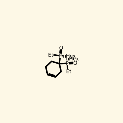 CCCCCCP(=O)(CC)C1(P(=O)(CC)CCCCCC)CC=CCC1